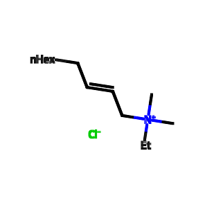 CCCCCCCC=CC[N+](C)(C)CC.[Cl-]